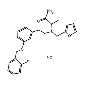 CC(C(N)=O)N(CCc1cccc(OCc2ccccc2F)c1)Cc1ccco1.Cl